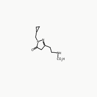 O=C(O)NCCC1=NN(CC2CC2)C(=O)C1